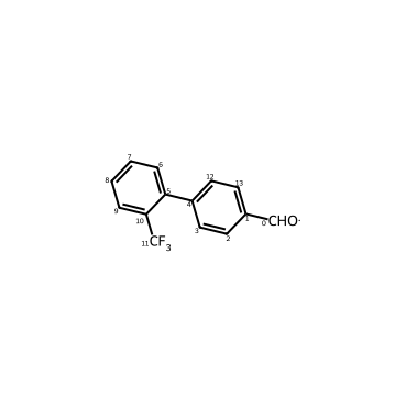 O=[C]c1ccc(-c2ccccc2C(F)(F)F)cc1